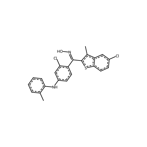 Cc1ccccc1Nc1ccc(C(=NO)c2sc3ccc(Cl)cc3c2C)c(Cl)c1